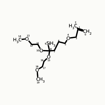 C=C(C)COCCCC([SiH3])(OCCOC)OCCOC